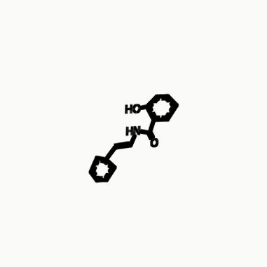 O=C(NC=Cc1ccccc1)c1ccccc1O